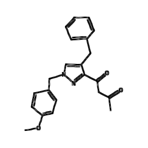 COc1ccc(Cn2cc(Cc3ccccc3)c(C(=O)CC(C)=O)n2)cc1